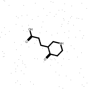 O=C(O)CCC1CNCCC1=O